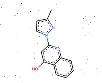 Cc1ccn(-c2cc(O)c3ccccc3n2)n1